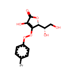 CC(C)c1ccc(OOC2=C(O)C(=O)O[C@@H]2[C@@H](O)CO)cc1